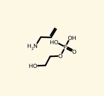 C=CCN.O=P(O)(O)OCCO